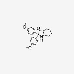 COc1ccc(C2(c3ccc(OC)cc3)Nc3ccccc3C2=O)cc1